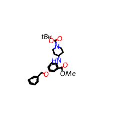 COC(=O)c1cc(OCc2ccccc2)ccc1NC1CCN(C(=O)OC(C)(C)C)CC1